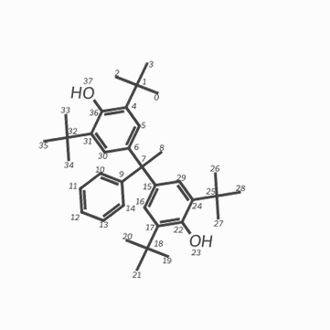 CC(C)(C)c1cc(C(C)(c2ccccc2)c2cc(C(C)(C)C)c(O)c(C(C)(C)C)c2)cc(C(C)(C)C)c1O